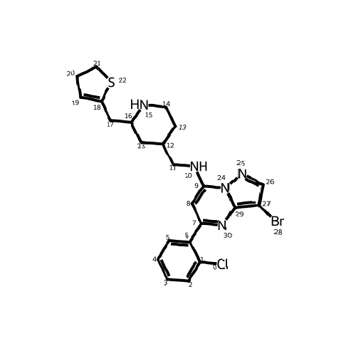 Clc1ccccc1-c1cc(NCC2CCNC(CC3=CCCS3)C2)n2ncc(Br)c2n1